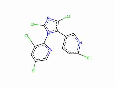 Clc1cnc(-n2c(Cl)nc(Cl)c2-c2ccc(Cl)nc2)c(Cl)c1